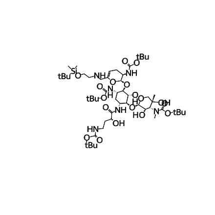 CN(C(=O)OC(C)(C)C)[C@@H]1[C@@H](O)[C@@H](O[C@@H]2[C@@H](O)[C@H](O[C@H]3OC(CNCCO[Si](C)(C)C(C)(C)C)=CC[C@H]3NC(=O)OC(C)(C)C)[C@@H](NC(=O)OC(C)(C)C)C[C@H]2NC(=O)[C@@H](O)CCNC(=O)OC(C)(C)C)OC[C@]1(C)O